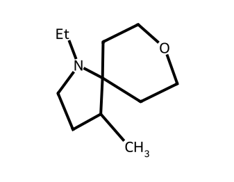 CCN1CCC(C)C12CCOCC2